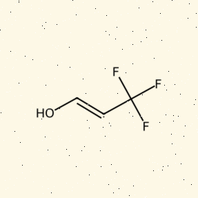 O/C=[C]/C(F)(F)F